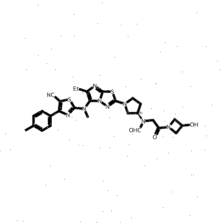 CCc1nc2sc(N3CC[C@@H](N(C=O)CC(=O)N4CC(O)C4)C3)nn2c1N(C)c1nc(-c2ccc(C)cc2)c(C#N)s1